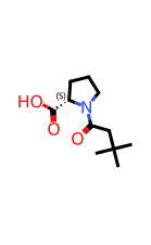 CC(C)(C)CC(=O)N1CCC[C@H]1C(=O)O